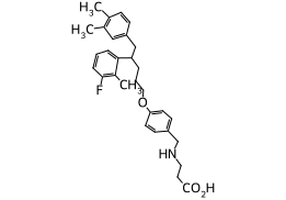 Cc1ccc(CC(CCCOc2ccc(CNCCC(=O)O)cc2)c2cccc(F)c2C)cc1C